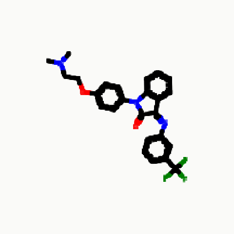 CN(C)CCOc1ccc(N2C(=O)C(=Nc3cccc(C(F)(F)F)c3)c3ccccc32)cc1